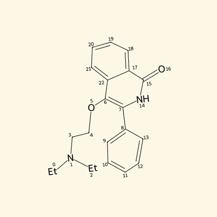 CCN(CC)CCOc1c(-c2ccccc2)[nH]c(=O)c2ccccc12